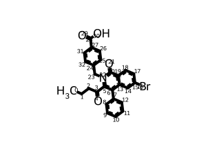 CCCC(=O)c1c(-c2ccccc2)c2cc(Br)ccc2c(=O)n1Cc1ccc(C(=O)O)cc1